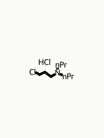 CCCN(CCC)CCCCl.Cl